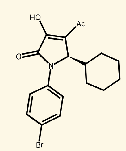 CC(=O)C1=C(O)C(=O)N(c2ccc(Br)cc2)[C@@H]1C1CCCCC1